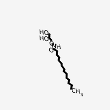 CCCCCCCCCCCCCCCC(=O)NOCC(O)CO